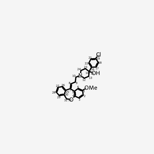 COc1ccc2c(c1)C(=CCCN1CCC(O)(c3ccc(Cl)cc3)CC1)c1ccccc1CO2